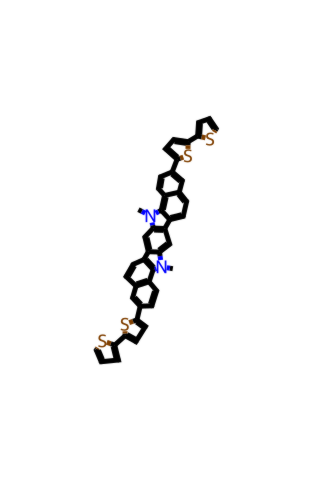 Cn1c2cc3c4ccc5cc(-c6ccc(-c7cccs7)s6)ccc5c4n(C)c3cc2c2ccc3cc(-c4ccc(-c5cccs5)s4)ccc3c21